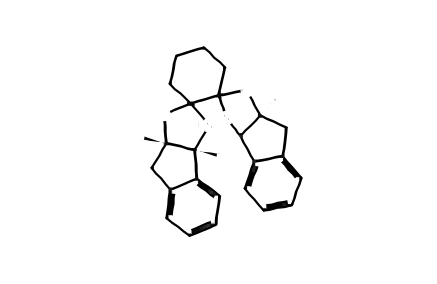 c1ccc2c(c1)C[C@@H]1OC3(CCCCC34N[C@@H]3c5ccccc5C[C@@H]3O4)NC21